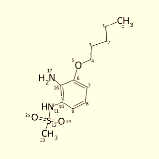 CCCCCOc1cccc(NS(C)(=O)=O)c1N